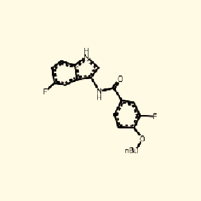 CCCCOc1ccc(C(=O)Nc2c[nH]c3ccc(F)cc23)cc1F